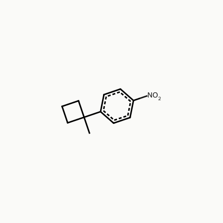 CC1(c2ccc([N+](=O)[O-])cc2)CCC1